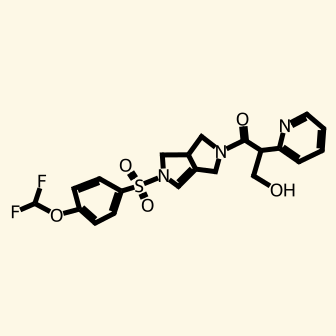 O=C(C(CO)c1ccccn1)N1CC2=CN(S(=O)(=O)c3ccc(OC(F)F)cc3)CC2C1